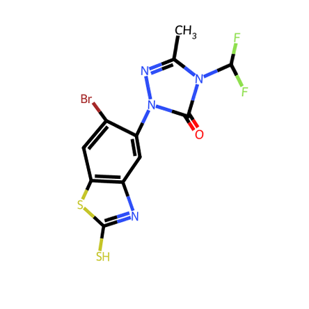 Cc1nn(-c2cc3nc(S)sc3cc2Br)c(=O)n1C(F)F